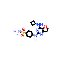 NS(=O)(=O)c1ccc(Nc2nc(NC3CCC3)c3occc3n2)cc1